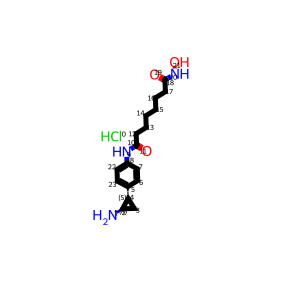 Cl.N[C@@H]1C[C@H]1c1ccc(NC(=O)CCCCCCC(=O)NO)cc1